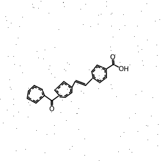 O=C(O)c1ccc(C=Cc2ccc(C(=O)c3ccccc3)cc2)cc1